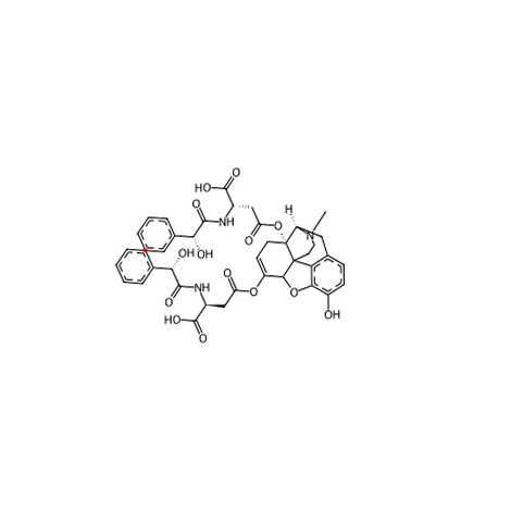 CN1CCC23c4c5ccc(O)c4OC2C(OC(=O)C[C@H](NC(=O)[C@@H](O)c2ccccc2)C(=O)O)=CC[C@@]3(OC(=O)C[C@H](NC(=O)[C@H](O)c2ccccc2)C(=O)O)[C@H]1C5